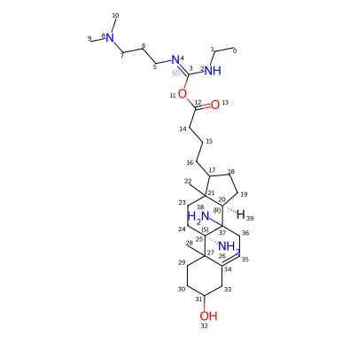 CCN/C(=N/CCCN(C)C)OC(=O)CCCC1CC[C@@H]2C1(C)CC[C@]1(N)C3(C)CCC(O)CC3=CCC21N